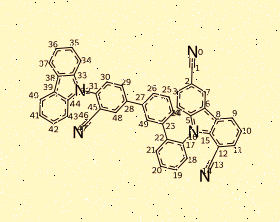 N#Cc1ccc2c(c1)c1cccc(C#N)c1n2-c1ccccc1-c1cccc(-c2ccc(-n3c4ccccc4c4ccccc43)c(C#N)c2)c1